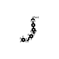 CCCCCC1COC(c2ccc(-c3cc(F)c(C(F)(F)Oc4cc(F)c(CCC(F)(F)Oc5cc(F)c(F)c(F)c5)c(F)c4)c(F)c3)cc2)OC1